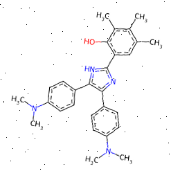 Cc1cc(-c2nc(-c3ccc(N(C)C)cc3)c(-c3ccc(N(C)C)cc3)[nH]2)c(O)c(C)c1C